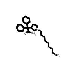 NCCCCCCCCN1CCC(C(C(N)=O)(c2ccccc2)c2ccccc2)C1